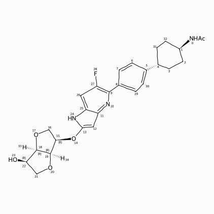 CC(=O)N[C@H]1CC[C@H](c2ccc(-c3nc4cc(O[C@@H]5CO[C@H]6[C@@H]5OC[C@H]6O)[nH]c4cc3F)cc2)CC1